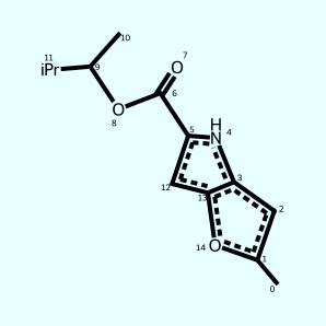 Cc1cc2[nH]c(C(=O)OC(C)C(C)C)cc2o1